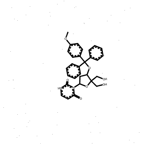 COc1ccc(C(OC2CC(n3c(=O)cc[nH]c3=O)OC2(CO)CO)(c2ccccc2)c2ccccc2)cc1